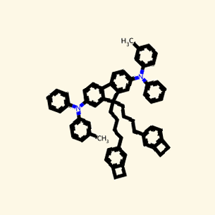 Cc1cccc(N(c2ccccc2)c2ccc3c(c2)C(CCCCc2ccc4c(c2)CC4)(CCCCc2ccc4c(c2)CC4)c2cc(N(c4ccccc4)c4cccc(C)c4)ccc2-3)c1